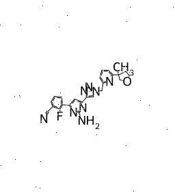 CC1(c2cccc(Cn3cc(-c4cc(-c5cccc(C#N)c5F)nc(N)n4)nn3)n2)CCOC1